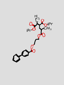 CC(C)OC(=O)C(C)C(CC(C)C(=O)OCCCOC(=O)c1ccc(-c2ccccc2)cc1)C(=O)OC(C)C